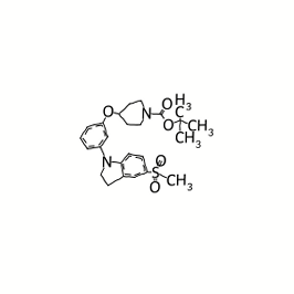 CC(C)(C)OC(=O)N1CCC(Oc2cccc(N3CCc4cc(S(C)(=O)=O)ccc43)c2)CC1